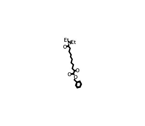 CCN(CC)C(=O)CCCCCCCCC(=O)C(=O)OCc1ccccc1